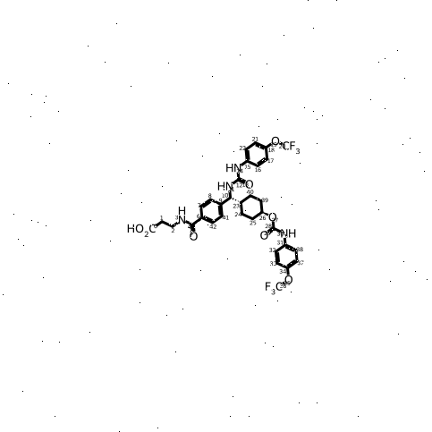 O=C(O)CCNC(=O)c1ccc(C(NC(=O)Nc2ccc(OC(F)(F)F)cc2)[C@H]2CC[C@H](OC(=O)Nc3ccc(OC(F)(F)F)cc3)CC2)cc1